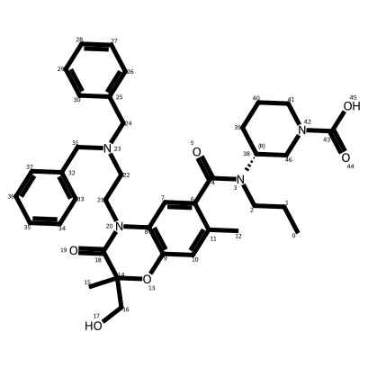 CCCN(C(=O)c1cc2c(cc1C)OC(C)(CO)C(=O)N2CCN(Cc1ccccc1)Cc1ccccc1)[C@@H]1CCCN(C(=O)O)C1